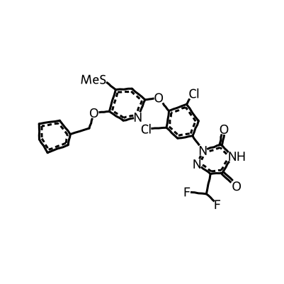 CSc1cc(Oc2c(Cl)cc(-n3nc(C(F)F)c(=O)[nH]c3=O)cc2Cl)ncc1OCc1ccccc1